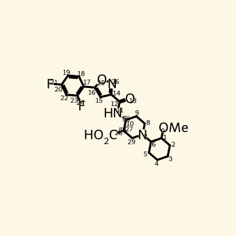 COC1CCCCC1N1CC[C@@H](NC(=O)c2cc(-c3ccc(F)cc3F)on2)[C@H](C(=O)O)C1